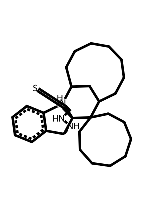 S=C1NNC2c3ccccc3NC23N1C1CCCCCCCC(C1)C31CCCCCCCC1